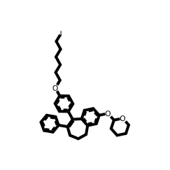 ICCCCCCOc1ccc(C2=C(c3ccccc3)CCCc3cc(OC4CCCCO4)ccc32)cc1